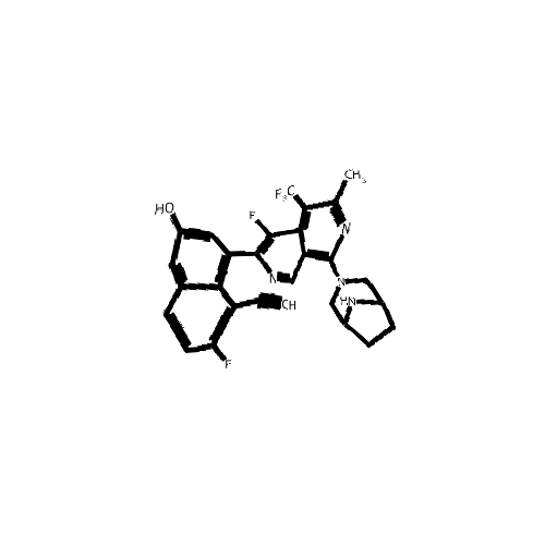 C#Cc1c(F)ccc2cc(O)cc(-c3ncc4c(N5CC6CCC(C5)N6)nc(C)c(C(F)(F)F)c4c3F)c12